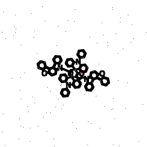 c1ccc(N2c3ccccc3C3(c4ccccc42)c2cc(-n4c5ccccc5c5c6c(ccc54)oc4ccccc46)oc2C2(c4ccccc4N(c4ccccc4)c4ccccc42)c2cc(-n4c5ccccc5c5c6c(ccc54)oc4ccccc46)oc23)cc1